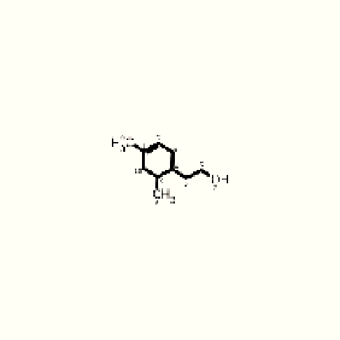 CC1=CCC(CCO)C(C)C1